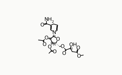 COC(=O)C[C@H](O)C(=O)OC[C@H]1O[C@@H](N2C=CCC(C(N)=O)=C2)[C@H](OC(C)=O)[C@@H]1OC(C)=O